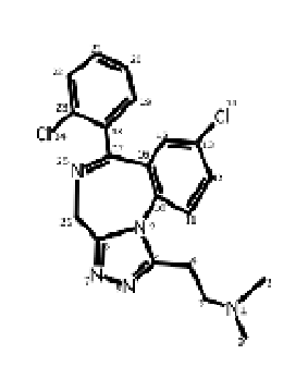 CN(C)CCc1nnc2n1-c1ccc(Cl)cc1C(c1ccccc1Cl)=NC2